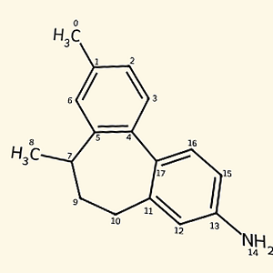 Cc1ccc2c(c1)C(C)CCc1cc(N)ccc1-2